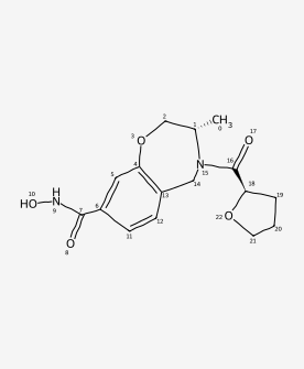 C[C@H]1COc2cc(C(=O)NO)ccc2CN1C(=O)[C@H]1CCCO1